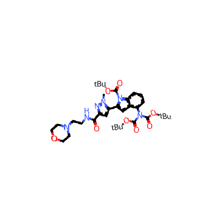 Cn1nc(C(=O)NCCN2CCOCC2)cc1-c1cc2c(N(C(=O)OC(C)(C)C)C(=O)OC(C)(C)C)cccc2n1C(=O)OC(C)(C)C